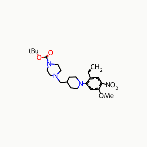 C=Cc1cc([N+](=O)[O-])c(OC)cc1N1CCC(CN2CCN(C(=O)OC(C)(C)C)CC2)CC1